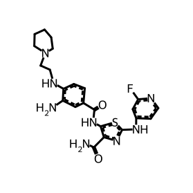 NC(=O)c1nc(Nc2ccnc(F)c2)sc1NC(=O)c1ccc(NCCN2CCCCC2)c(N)c1